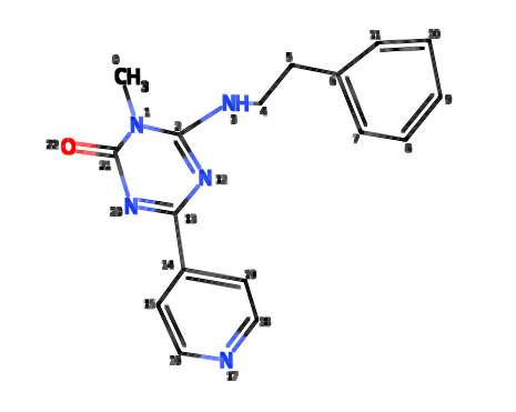 Cn1c(NCCc2ccccc2)nc(-c2ccncc2)nc1=O